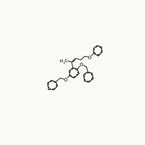 CC(=CCCOc1ccccc1)c1cc(OCc2ccccc2)ccc1OCc1ccccc1